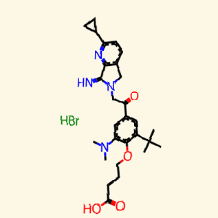 Br.CN(C)c1cc(C(=O)CN2Cc3ccc(C4CC4)nc3C2=N)cc(C(C)(C)C)c1OCCCC(=O)O